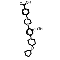 Cl.Cl.O=C(O)c1ccc(N2CCN(c3ccc(N4CCC(OC5CCCCC5)CC4)cc3)CC2)cc1